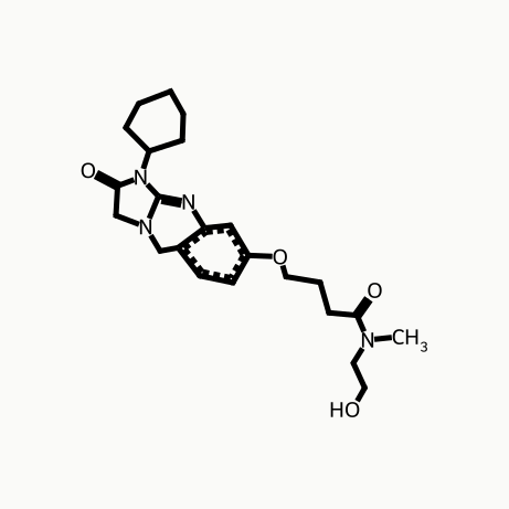 CN(CCO)C(=O)CCCOc1ccc2c(c1)N=C1N(CC(=O)N1C1CCCCC1)C2